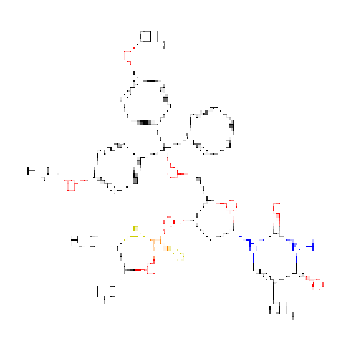 COc1ccc(C(OC[C@H]2O[C@@H](n3cc(C)c(=O)[nH]c3=O)C[C@@H]2OP2(=S)O[C@H](C)[C@H](C)S2)(c2ccccc2)c2ccc(OC)cc2)cc1